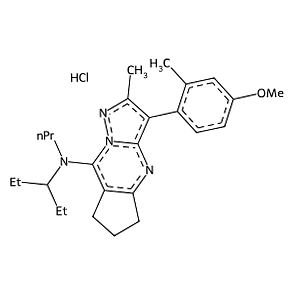 CCCN(c1c2c(nc3c(-c4ccc(OC)cc4C)c(C)nn13)CCC2)C(CC)CC.Cl